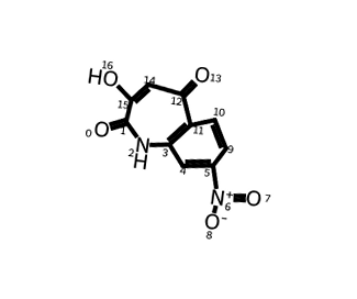 O=c1[nH]c2cc([N+](=O)[O-])ccc2c(=O)cc1O